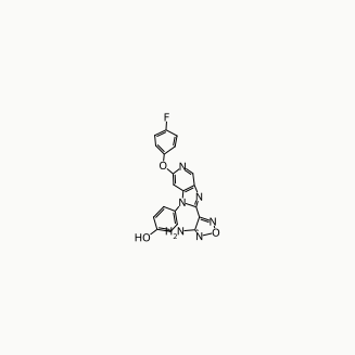 Nc1nonc1-c1nc2cnc(Oc3ccc(F)cc3)cc2n1-c1ccc(O)cc1